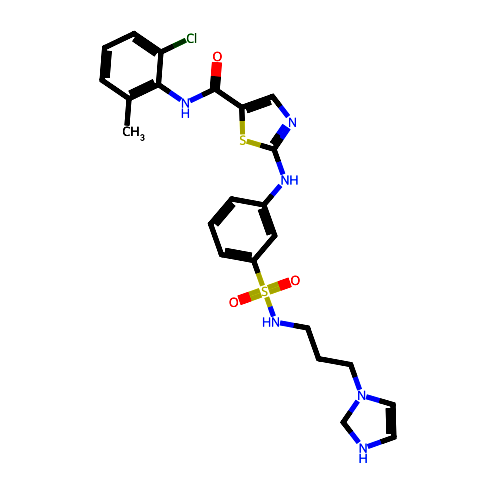 Cc1cccc(Cl)c1NC(=O)c1cnc(Nc2cccc(S(=O)(=O)NCCCN3C=CNC3)c2)s1